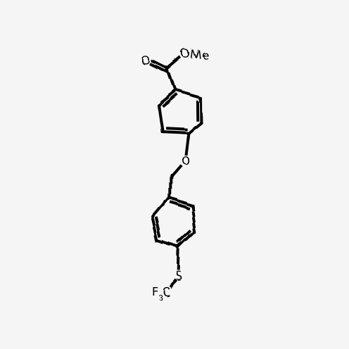 COC(=O)c1ccc(OCc2ccc(SC(F)(F)F)cc2)cc1